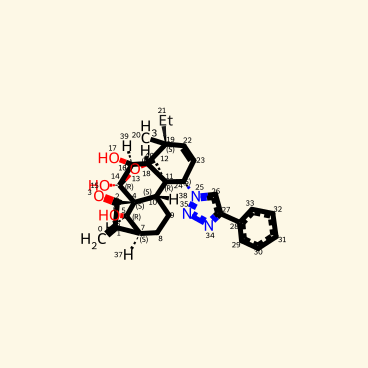 C=C1C(=O)[C@]23[C@H](O)[C@H]1CC[C@H]2[C@@]12CO[C@@]3(O)[C@@H](O)[C@@H]1[C@@](C)(CC)C=C[C@@H]2n1cc(-c2ccccc2)nn1